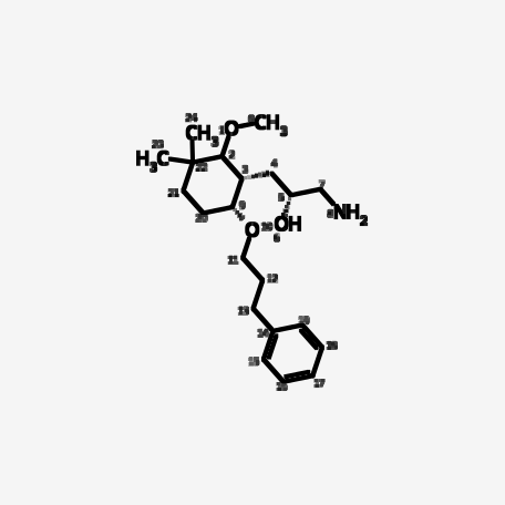 COC1[C@H](C[C@@H](O)CN)[C@H](OCCCc2ccccc2)CCC1(C)C